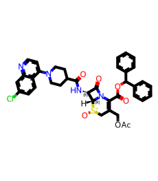 CC(=O)OCC1=C(C(=O)OC(c2ccccc2)c2ccccc2)N2C(=O)[C@@H](NC(=O)C3CCN(c4ccnc5cc(Cl)ccc45)CC3)[C@H]2[S+]([O-])C1